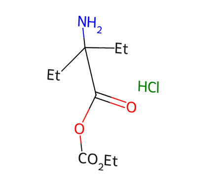 CCOC(=O)OC(=O)C(N)(CC)CC.Cl